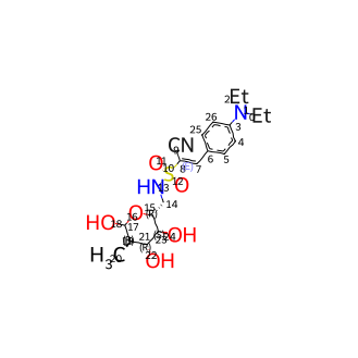 CCN(CC)c1ccc(/C=C(\C#N)S(=O)(=O)NC[C@H]2OC(O)[C@H](C)[C@@H](O)[C@@H]2O)cc1